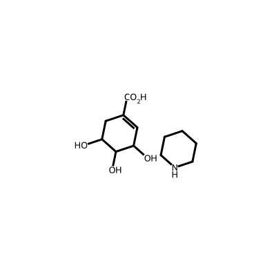 C1CCNCC1.O=C(O)C1=CC(O)C(O)C(O)C1